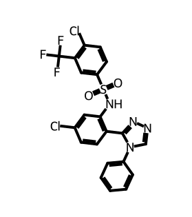 O=S(=O)(Nc1cc(Cl)ccc1-c1nncn1-c1ccccc1)c1ccc(Cl)c(C(F)(F)F)c1